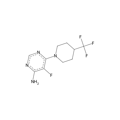 Nc1ncnc(N2CCC(C(F)(F)F)CC2)c1F